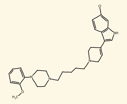 COc1ccccc1N1CCN(CCCCCN2CC=C(c3c[nH]c4cc(Cl)ccc34)CC2)CC1